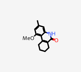 COc1cc(C)cc2[nH]c(=O)c3c(c12)CCCC3